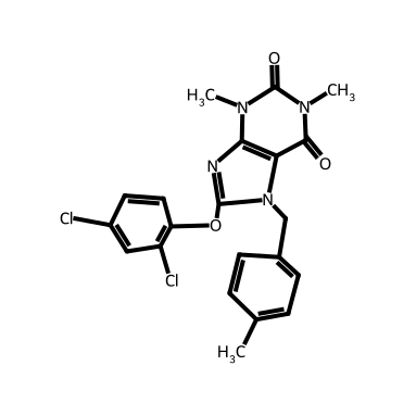 Cc1ccc(Cn2c(Oc3ccc(Cl)cc3Cl)nc3c2c(=O)n(C)c(=O)n3C)cc1